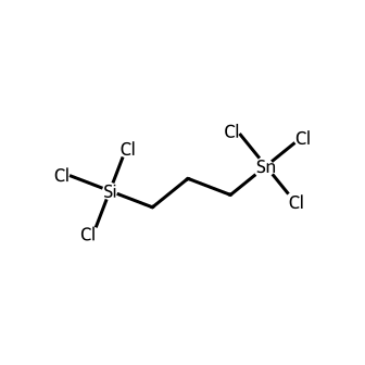 Cl[Si](Cl)(Cl)CC[CH2][Sn]([Cl])([Cl])[Cl]